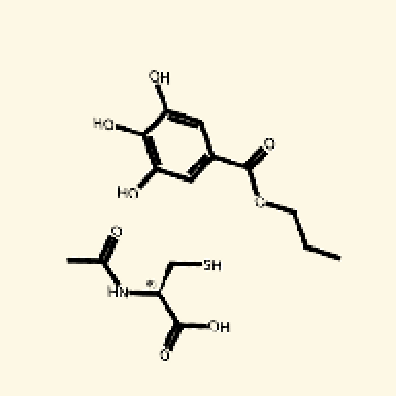 CC(=O)N[C@@H](CS)C(=O)O.CCCOC(=O)c1cc(O)c(O)c(O)c1